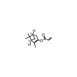 C=CC(=O)OC1=C(C)[C@H]2C[C@@H](C1)C2(C)C